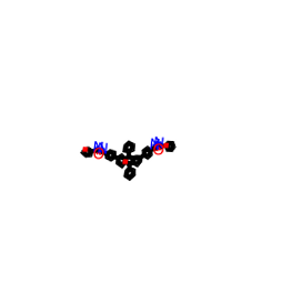 c1ccc(-c2nnc(-c3ccc(-c4ccc5c(-c6ccccc6)c6ccc(-c7ccc(-c8nnc(-c9ccccc9)o8)cc7)cc6c(-c6ccccc6)c5c4)cc3)o2)cc1